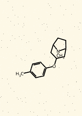 Cc1ccc(OC2CC3CCC(C2)N3C)cc1